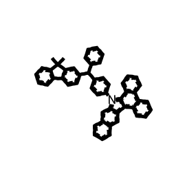 CC1(C)c2ccccc2-c2ccc(C(c3ccccc3)c3ccc(-n4c5cc6ccccc6cc5c5c6ccccc6c6ccccc6c54)cc3)cc21